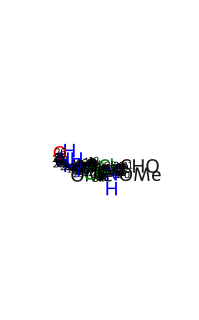 COc1cc(N[C@H]2CCc3c(-c4cccc(-c5ccc(CNC[C@@H]6CCC(=O)N6)c(OC)n5)c4Cl)cccc32)c(Cl)cc1C=O